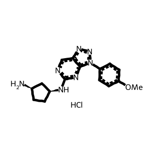 COc1ccc(-n2nnc3cnc(N[C@H]4CC[C@@H](N)C4)nc32)cc1.Cl